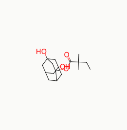 CCC(C)(C)C(=O)OC1CC2(O)CC3CC1CC(O)(C3)C2